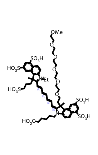 CC[N+]1=C(/C=C/C=C/C=C/C=C2/N(CCCCCC(=O)O)c3ccc4c(S(=O)(=O)O)cc(S(=O)(=O)O)cc4c3C2(C)CCOCCOCCOCCOCCOCCOC)C(C)(CCCS(=O)(=O)O)c2c1ccc1c(S(=O)(=O)O)cc(S(=O)(=O)O)cc21